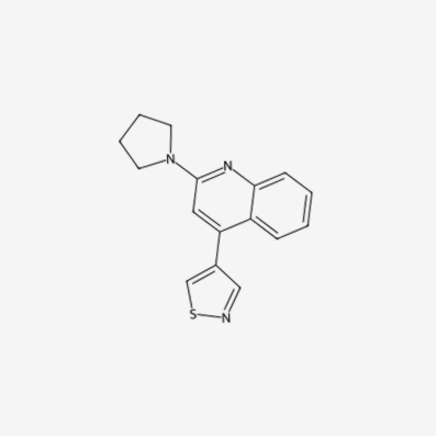 c1ccc2c(-c3cnsc3)cc(N3CCCC3)nc2c1